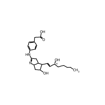 CCCCC[C@H](O)C=CC1C(O)CC2N=C(Nc3ccc(CC(=O)O)cc3)CC21